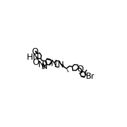 Cc1c(Br)cccc1OC1CCC(C[C@@H](C)CCN2CCN(c3ccc4c(C5CCC(=O)NC5=O)nn(C)c4c3)CC2)CC1